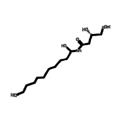 CCCCCCCCCCC[C@@H](O)CC(=O)NC(O)CCCCCCCCCO